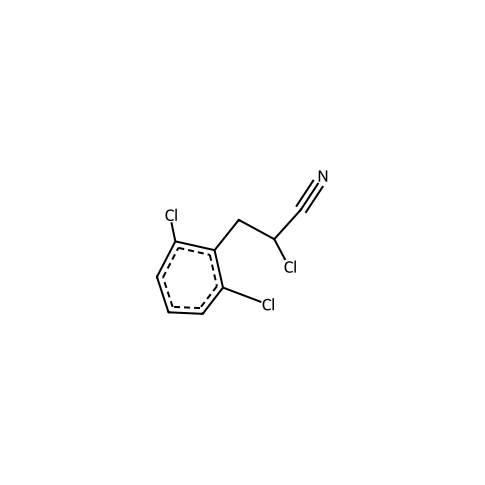 N#CC(Cl)Cc1c(Cl)cccc1Cl